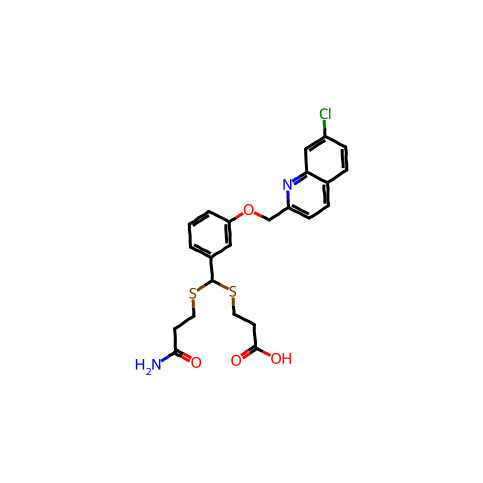 NC(=O)CCSC(SCCC(=O)O)c1cccc(OCc2ccc3ccc(Cl)cc3n2)c1